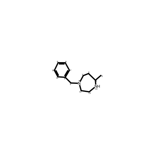 CC1CCN(Cc2ccccc2)CCN1